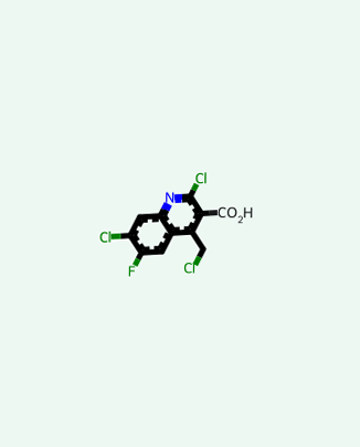 O=C(O)c1c(Cl)nc2cc(Cl)c(F)cc2c1CCl